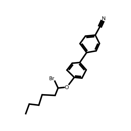 CCCCCC(Br)Oc1ccc(-c2ccc(C#N)cc2)cc1